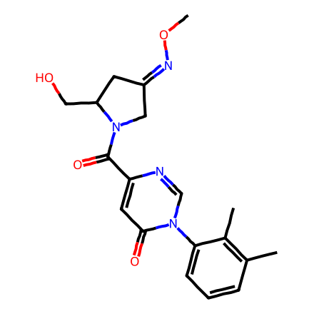 CO/N=C1\CC(CO)N(C(=O)c2cc(=O)n(-c3cccc(C)c3C)cn2)C1